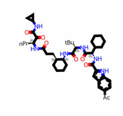 CCC[C@H](NC(=O)CC[C@@H]1CCCC[C@@H]1NC(=O)[C@@H](NC(=O)[C@@H](NC(=O)c1cc2cc(C(C)=O)ccc2[nH]1)C1CCCCC1)C(C)(C)C)C(=O)C(=O)NC1CC1